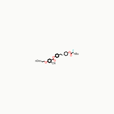 CCCCCCCCCCCCOc1ccc(C(=O)Oc2ccc(CC[C@H]3CC[C@H](OC(=O)[C@H](F)CCCC)CC3)cc2)c(C#N)c1